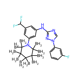 BC1(B)N(c2cc(Nc3ncn(-c4cccc(F)c4)n3)cc(C(F)F)c2)C(B)(B)C(B)(B)C(B)(B)C1(B)B